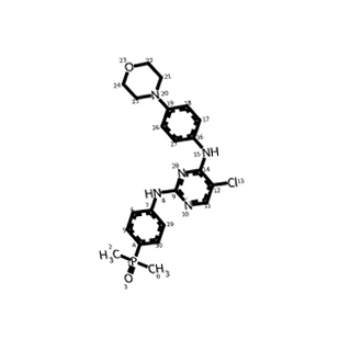 CP(C)(=O)c1ccc(Nc2ncc(Cl)c(Nc3ccc(N4CCOCC4)cc3)n2)cc1